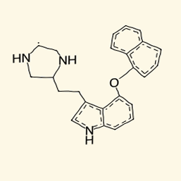 [CH]1CNC(CCc2c[nH]c3cccc(Oc4cccc5ccccc45)c23)CN1